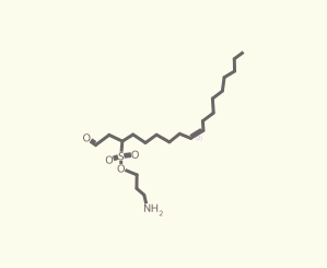 CCCCCCCC/C=C\CCCCCC(CC=O)S(=O)(=O)OCCCN